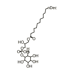 CCCCCCCCCCCCCCCCCCCCCC(=O)OCC(O)COP(=O)(O)OC1C(O)C(O)C(O)C(O)C1O